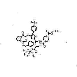 CCOC(=O)N1CCN(C(=O)[C@H](CCC(=O)OC(C)(C)C)NC(=O)c2cc(OCC(=O)N3CCC[C@H]3C(=O)OCc3ccccc3)n(-c3ccc(C(F)(F)F)cc3)n2)CC1